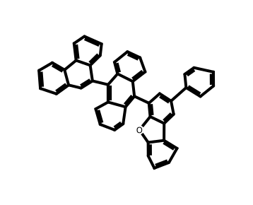 c1ccc(-c2cc(-c3c4ccccc4c(-c4cc5ccccc5c5ccccc45)c4ccccc34)c3oc4ccccc4c3c2)cc1